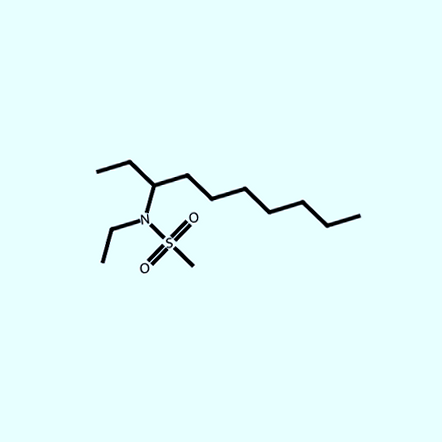 CCCCCCCC(CC)N(CC)S(C)(=O)=O